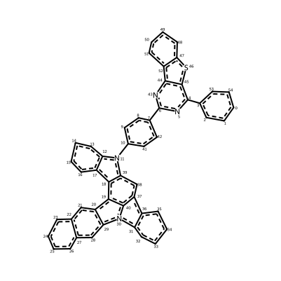 c1ccc(-c2nc(-c3ccc(-n4c5ccccc5c5c6c7cc8ccccc8cc7n7c8ccccc8c(cc54)c67)cc3)nc3c2sc2ccccc23)cc1